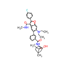 CCN(CC)c1cc2oc(-c3ccc(F)cc3)c(C(=O)NC)c2cc1-c1cccc(C(=O)NC2=C3C4(C)CC(O)(C2)CC3(C)C4)c1